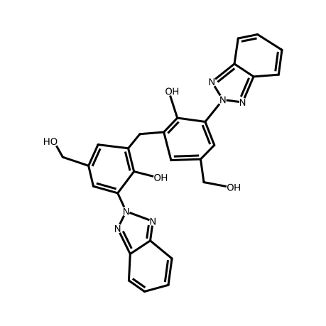 OCc1cc(Cc2cc(CO)cc(-n3nc4ccccc4n3)c2O)c(O)c(-n2nc3ccccc3n2)c1